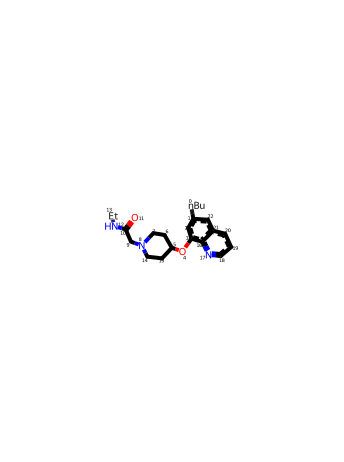 CCCCc1cc(OC2CCN(CC(=O)NCC)CC2)c2ncccc2c1